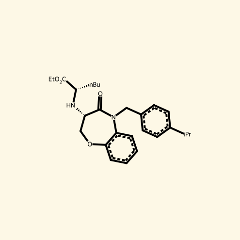 CCCC[C@H](N[C@H]1COc2ccccc2N(Cc2ccc(C(C)C)cc2)C1=O)C(=O)OCC